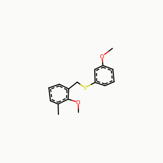 COc1cccc(SCc2cccc(C)c2OC)c1